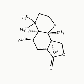 CC(=O)O[C@@H]1C=C2C(=O)OC[C@]2(O)[C@@]2(C)CCCC(C)(C)[C@H]12